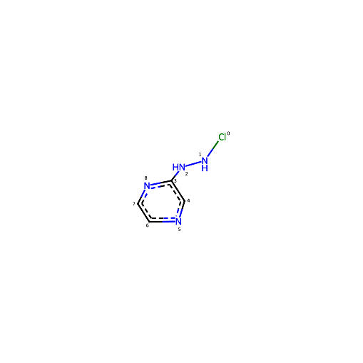 ClNNc1cnccn1